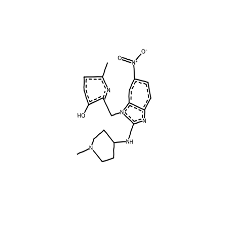 Cc1ccc(O)c(Cn2c(NC3CCN(C)CC3)nc3ccc([N+](=O)[O-])cc32)n1